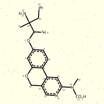 [2H]C(Oc1ccc2c(c1)OCc1cnc(N(C)C(=O)O)cc1-2)C(C)(N)CC(C)C